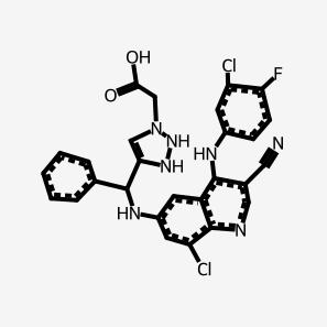 N#Cc1cnc2c(Cl)cc(NC(C3=CN(CC(=O)O)NN3)c3ccccc3)cc2c1Nc1ccc(F)c(Cl)c1